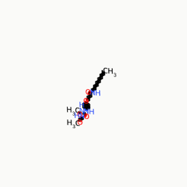 CCCCCCCCCCCCNC(=O)CCCOc1ccc(NC(NC(C)=O)C(=O)NCCOC)cc1